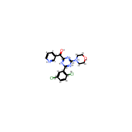 O=C(c1cccnc1)c1nc(-c2cc(Cl)ccc2Cl)nc(N2CCOCC2)n1